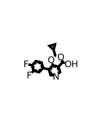 O=C(O)c1cncc(-c2ccc(F)c(F)c2)c1OCC1CC1